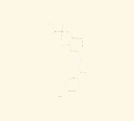 CSc1ccc(C(C)/C=C/c2cc(C)c(OC(C)(C)C(=O)O)c(C)c2)cc1